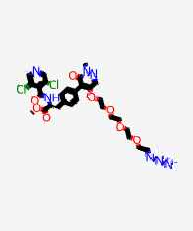 COC(=O)[C@H](Cc1ccc(-c2c(OCCOCCOCCOCCN=[N+]=[N-])cnn(C)c2=O)cc1)NC(=O)c1c(Cl)cncc1Cl